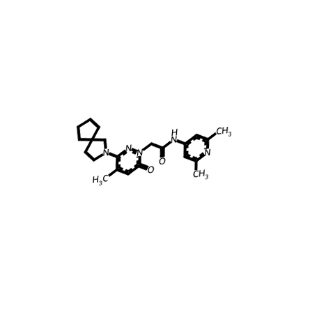 Cc1cc(NC(=O)Cn2nc(N3CCC4(CCCC4)C3)c(C)cc2=O)cc(C)n1